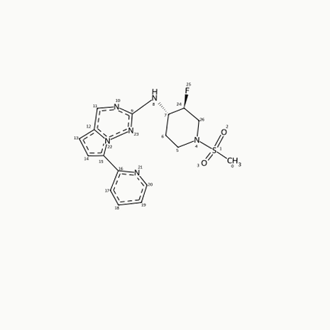 CS(=O)(=O)N1CC[C@H](Nc2ncc3ccc(-c4ccccn4)n3n2)[C@@H](F)C1